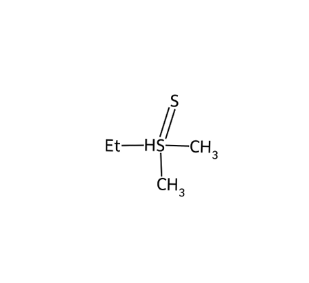 CC[SH](C)(C)=S